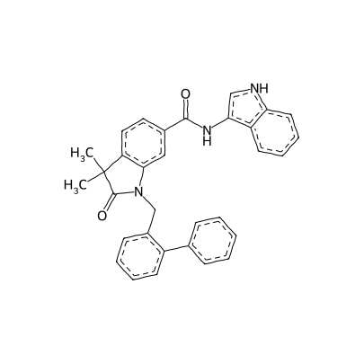 CC1(C)C(=O)N(Cc2ccccc2-c2ccccc2)c2cc(C(=O)Nc3c[nH]c4ccccc34)ccc21